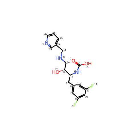 O=C(O)N[C@@H](Cc1cc(F)cc(F)c1)[C@H](O)CNCc1cccnc1